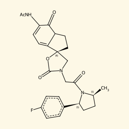 CC(=O)NC1=CC=C2C(CC[C@]23CN(CC(=O)N2[C@@H](C)CC[C@H]2c2ccc(F)cc2)C(=O)O3)C1=O